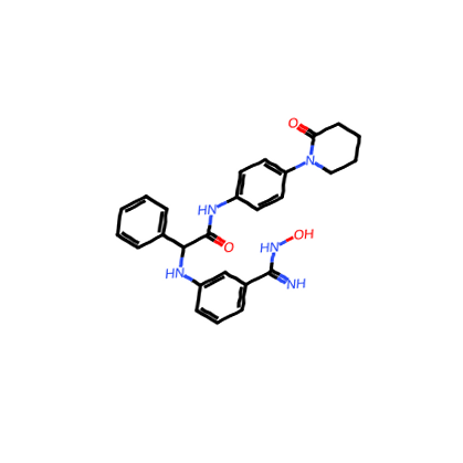 N=C(NO)c1cccc(NC(C(=O)Nc2ccc(N3CCCCC3=O)cc2)c2ccccc2)c1